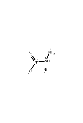 NN[N+](=O)[O-].[Ni]